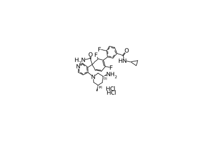 C[C@@H]1C[C@H](N)CN(c2ccncc2C2(C(N)=O)C=CC(F)=C(c3cc(C(=O)NC4CC4)ccc3F)C2F)C1.Cl.Cl